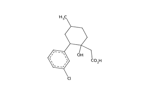 CC1CCC(O)(CC(=O)O)C(c2cccc(Cl)c2)C1